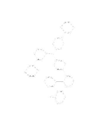 Brc1ccccc1-c1ccccc1-c1ccccc1-c1ccc(N(c2ccc(-c3ccccc3)cc2)c2cccc(-c3ccccc3)c2)cc1